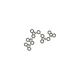 c1cc(-c2ccc3c(c2)c2ccccc2n3-c2cccc(-n3c4ccccc4c4ccccc43)c2)cc(-n2c3ccccc3c3cc(-n4c5ccccc5c5c(-n6c7ccccc7c7ccccc76)cccc54)ccc32)c1